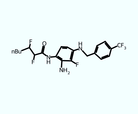 CCCCC(F)C(F)C(=O)Nc1ccc(NCc2ccc(C(F)(F)F)cc2)c(F)c1N